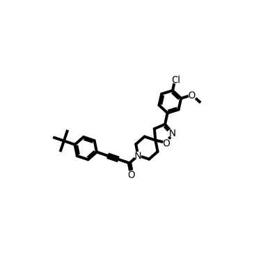 COc1cc(C2=NOC3(CCN(C(=O)C#Cc4ccc(C(C)(C)C)cc4)CC3)C2)ccc1Cl